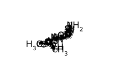 CCOc1ccc(-c2nnc(NC(=O)Cc3ccc4nc(N)sc4c3)s2)c(OCC)c1